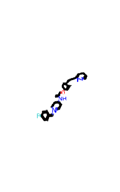 C=C(COc1ccc(CC2=NC=CCC2)cc1)NC1CCN(Cc2ccc(F)cc2)CC1